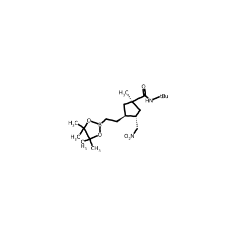 CC(C)(C)NC(=O)[C@]1(C)C[C@H](CCB2OC(C)(C)C(C)(C)O2)[C@@H](C[N+](=O)[O-])C1